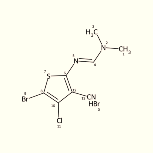 Br.CN(C)C=Nc1sc(Br)c(Cl)c1C#N